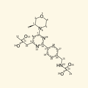 C[C@H]1COCCN1c1cc(CS(C)(=O)=O)nc(-c2ccc(CNS(C)(=O)=O)cc2)n1